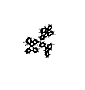 c1ccc(-c2c(-c3ccccc3)c3cc(N(c4ccc(-c5cc6ccccc6c6ccccc56)cc4)c4ccc5c(c4)-c4ccccc4C5(c4ccccc4)c4ccccc4)ccc3c3ccccc23)cc1